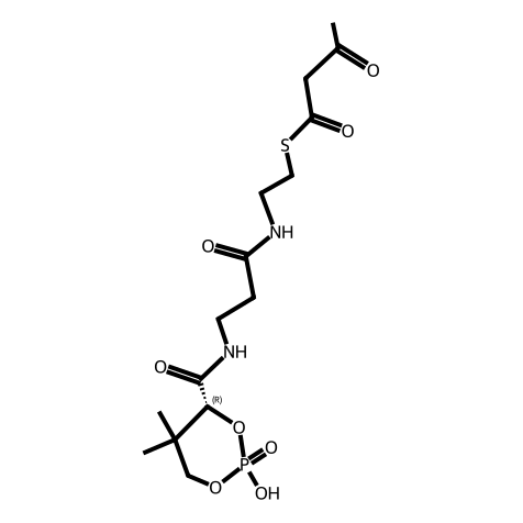 CC(=O)CC(=O)SCCNC(=O)CCNC(=O)[C@@H]1OP(=O)(O)OCC1(C)C